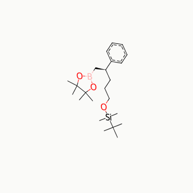 CC1(C)OB(C[C@H](CCCO[Si](C)(C)C(C)(C)C)c2ccccc2)OC1(C)C